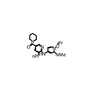 CCCc1cc(C(=O)N2CCCCC2)cnc1NC1=CC(NC)N(OC(C)C)C=C1